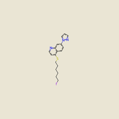 ICCCCCCSc1ccnc2cc(-n3cccn3)ccc12